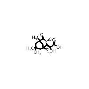 CN1C(=O)C2(C)CC(C)(C)CC(C)(C2)/C1=C(\O)C(=O)O